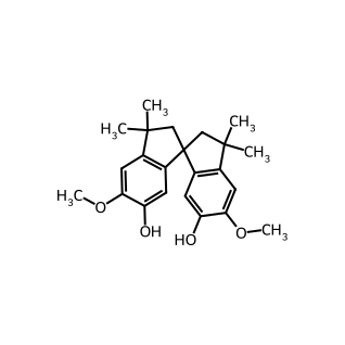 COc1cc2c(cc1O)C1(CC2(C)C)CC(C)(C)c2cc(OC)c(O)cc21